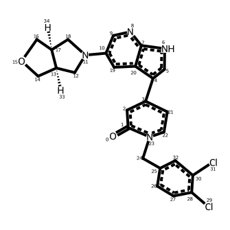 O=c1cc(-c2c[nH]c3ncc(N4C[C@H]5COC[C@H]5C4)cc23)ccn1Cc1ccc(Cl)c(Cl)c1